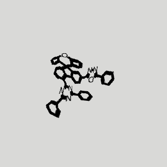 c1ccc(-c2nc(-c3ccccc3)nc(-c3cccc4c3-c3ccc(-c5nnc(-c6ccccc6)o5)cc3C43c4ccccc4Oc4ccccc43)n2)cc1